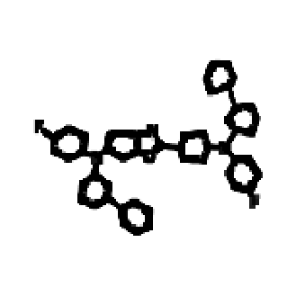 Fc1ccc(N(c2ccc(-c3nc4ccc(N(c5ccc(F)cc5)c5cccc(-c6ccccc6)c5)cc4o3)cc2)c2cccc(-c3ccccc3)c2)cc1